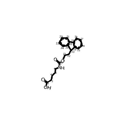 O=C(O)CCCCNC(=O)OCCC1c2ccccc2-c2ccccc21